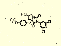 O=C1N(c2cc(Cl)nc(Cl)c2)C(=O)[C@]2(Cc3ccc(OC(F)(F)F)cc3)C[C@@H](O)CN12